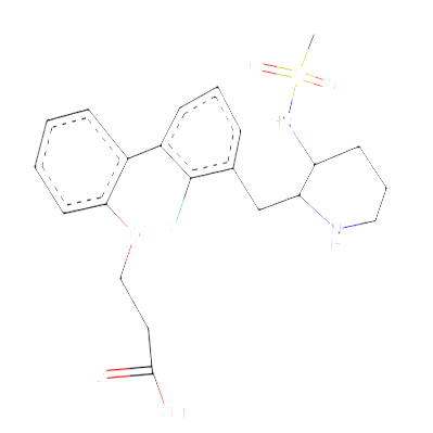 CS(=O)(=O)NC1CCCNC1Cc1cccc(-c2ccccc2OCCC(=O)O)c1F